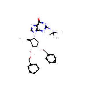 C=C1[C@H](COCc2ccccc2)[C@@H](OCc2ccccc2)C[C@@H]1n1cnc2c(=O)[nH]c(NC(C)(C)C)nc21